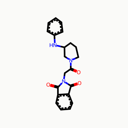 O=C(CN1C(=O)c2ccccc2C1=O)N1CCCC(Nc2ccccc2)C1